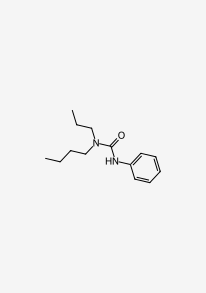 CCCCN(CCC)C(=O)Nc1ccccc1